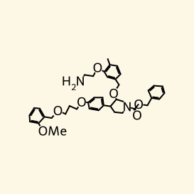 COc1ccccc1COCCCOc1ccc(C2CCN(C(=O)OCc3ccccc3)CC2OCc2ccc(C)c(OCCN)c2)cc1